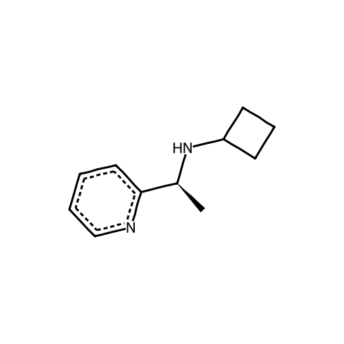 C[C@H](NC1CCC1)c1ccccn1